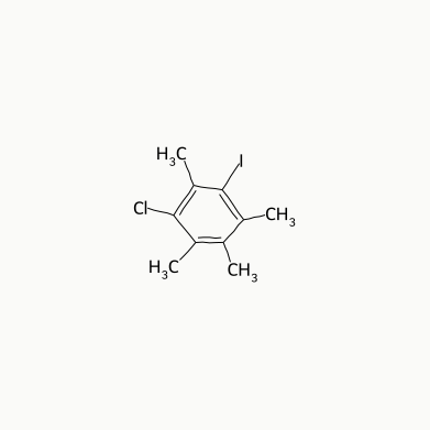 Cc1c(C)c(Cl)c(C)c(I)c1C